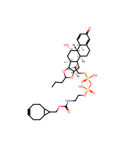 CCCC1O[C@@H]2CC3[C@@H]4CCC5=CC(=O)C=C[C@]5(C)[C@H]4[C@@H](O)C[C@]3(C)[C@]2(C(=O)COP(=O)(O)OP(=O)(O)OCCNC(=O)OCC2C3CCC#CCCC32)O1